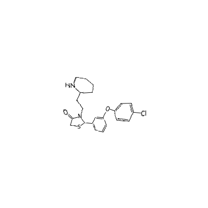 O=C1CSC(c2cccc(Oc3ccc(Cl)cc3)c2)N1CCC1CCCCN1